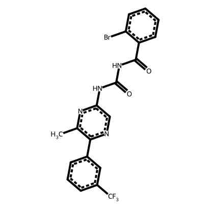 Cc1nc(NC(=O)NC(=O)c2ccccc2Br)cnc1-c1cccc(C(F)(F)F)c1